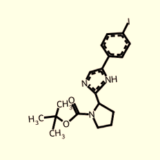 CC(C)(C)OC(=O)N1CCCC1c1ncc(-c2ccc(I)cc2)[nH]1